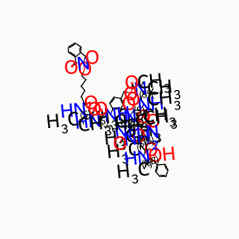 CC[C@H](C)[C@@H]([C@@H](CC(=O)N1CCC[C@H]1[C@H](OC)[C@@H](C)C(=O)N[C@H](C)[C@@H](O)c1ccccc1)OC)N(C)C(=O)[C@@H](NC(=O)[C@H](C(C)C)N(C)C(=O)OCc1ccc(NC(=O)[C@H](CCCNC(N)=O)NC(=O)[C@@H](NC(=O)CCCCCON2C(=O)c3ccccc3C2=O)C(C)C)cc1)C(C)C